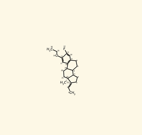 CC=C1CCC2C3CCc4cc(F)c(OCC)cc4C3CC[C@]12C